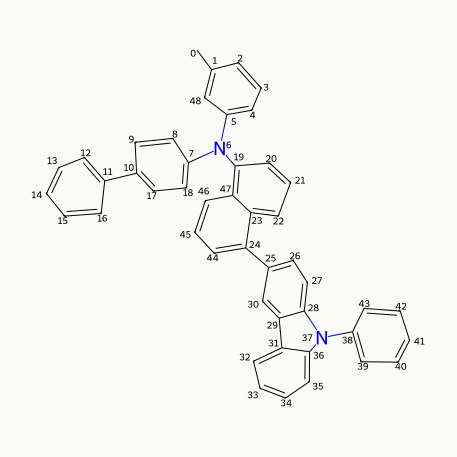 Cc1cccc(N(c2ccc(-c3ccccc3)cc2)c2cccc3c(-c4ccc5c(c4)c4ccccc4n5-c4ccccc4)cccc23)c1